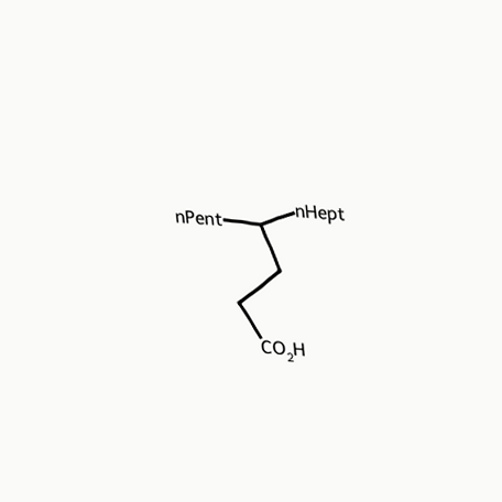 CCCCCCCC(CCCCC)CCC(=O)O